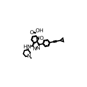 CN1CCC[C@@H](Nc2nnc(-c3ccc(C#CC4CC4)cc3O)c3ccccc23)C1.O=CO